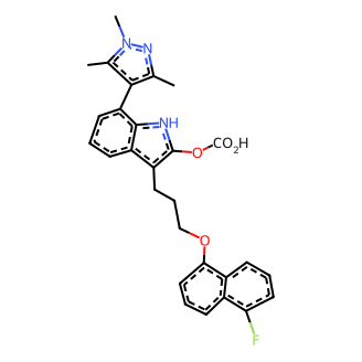 Cc1nn(C)c(C)c1-c1cccc2c(CCCOc3cccc4c(F)cccc34)c(OC(=O)O)[nH]c12